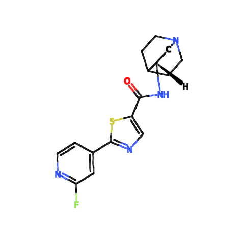 O=C(N[C@H]1CN2CCC1CC2)c1cnc(-c2ccnc(F)c2)s1